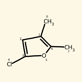 Cc1[c]c(Cl)oc1C